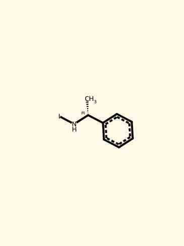 C[C@@H](NI)c1ccccc1